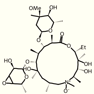 CC[C@H]1OC(=O)[C@H](C)[C@@H](O[C@H]2C[C@@](C)(OC)[C@@H](O)[C@H](C)O2)[C@H](C)[C@@H](O[C@@H]2O[C@H](C)C3OC3[C@H]2O)[C@](C)(O)C[C@@H](C)C[N+](C)([O-])[C@H](C)[C@@H](O)[C@]1(C)O